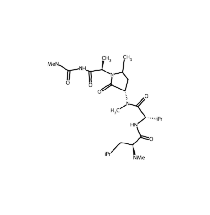 CNC(=O)NC(=O)[C@@H](C)N1C(=O)[C@@H](N(C)C(=O)[C@@H](NC(=O)[C@H](CC(C)C)NC)C(C)C)CC1C